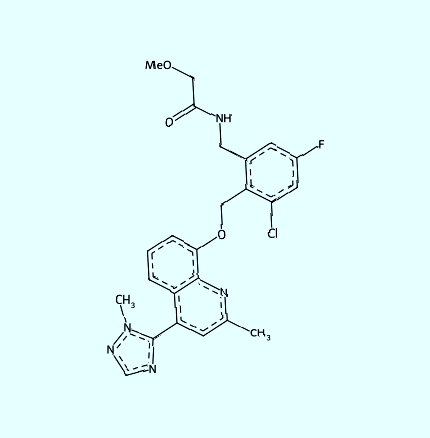 COCC(=O)NCc1cc(F)cc(Cl)c1COc1cccc2c(-c3ncnn3C)cc(C)nc12